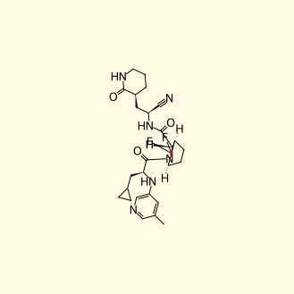 Cc1cncc(N[C@@H](CC2CC2)C(=O)N2[C@@H]3CC[C@H]([C@H]2C(=O)N[C@H](C#N)C[C@@H]2CCCNC2=O)C(F)(F)C3)c1